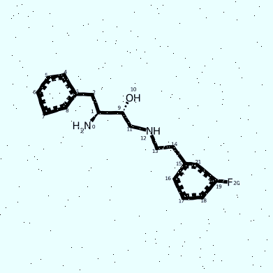 N[C@@H](Cc1ccccc1)[C@H](O)CNCCc1cccc(F)c1